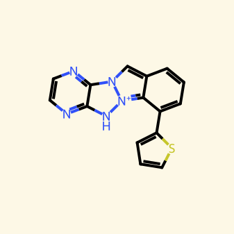 c1csc(-c2cccc3cn4c5nccnc5[nH][n+]4c23)c1